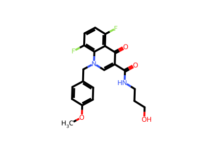 COc1ccc(Cn2cc(C(=O)NCCCO)c(=O)c3c(F)ccc(F)c32)cc1